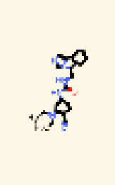 CCN(CC)c1cc(NC(=O)NCC2c3ccccc3-c3cncn32)ccc1C#N